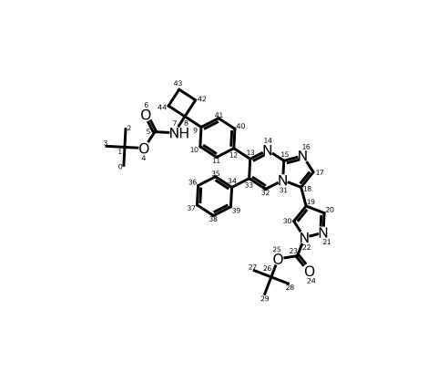 CC(C)(C)OC(=O)NC1(c2ccc(-c3nc4ncc(-c5cnn(C(=O)OC(C)(C)C)c5)n4cc3-c3ccccc3)cc2)CCC1